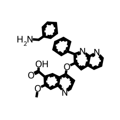 COc1cc2nccc(Oc3cc4cccnc4nc3-c3ccccc3)c2cc1C(=O)O.NCc1ccccc1